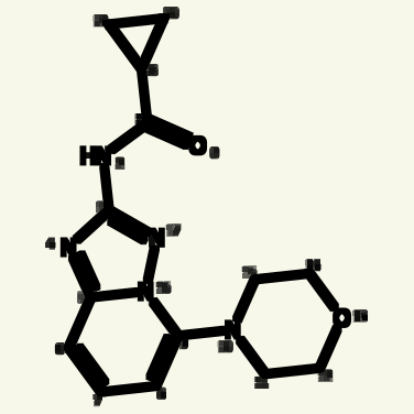 O=C(Nc1nc2cccc(N3CCOCC3)n2n1)C1CC1